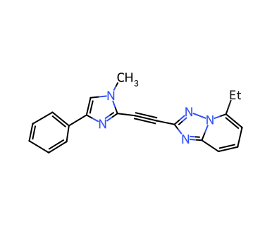 CCc1cccc2nc(C#Cc3nc(-c4ccccc4)cn3C)nn12